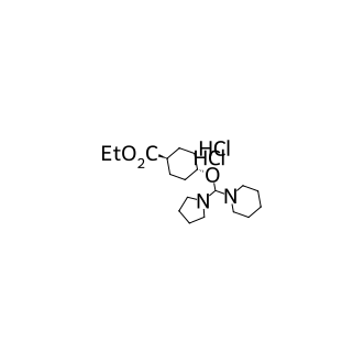 CCOC(=O)[C@H]1CC[C@H](OC(N2CCCCC2)N2CCCC2)CC1.Cl.Cl